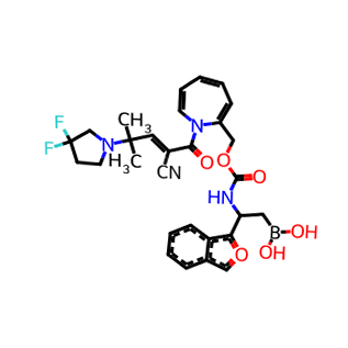 CC(C)(C=C(C#N)C(=O)N1C=CC=CC=C1COC(=O)NC(CB(O)O)c1occ2ccccc12)N1CCC(F)(F)C1